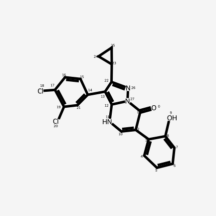 O=c1c(-c2ccccc2O)c[nH]c2c(-c3ccc(Cl)c(Cl)c3)c(C3CC3)nn12